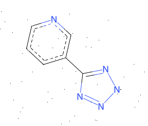 c1cncc(C2=N[N]N=N2)c1